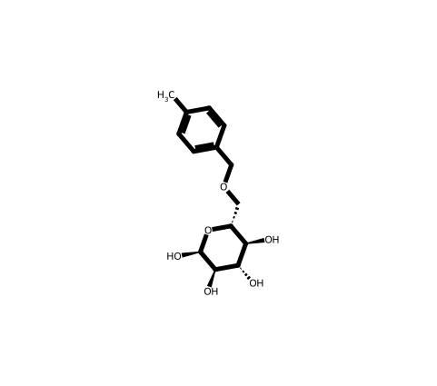 Cc1ccc(COC[C@H]2O[C@H](O)[C@H](O)[C@@H](O)[C@@H]2O)cc1